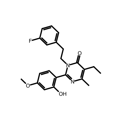 CCc1c(C)nc(-c2ccc(OC)cc2O)n(CCc2cccc(F)c2)c1=O